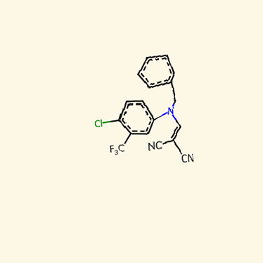 N#CC(C#N)=CN(Cc1ccccc1)c1ccc(Cl)c(C(F)(F)F)c1